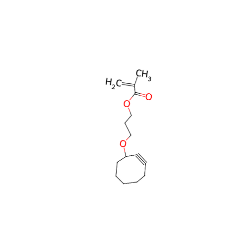 C=C(C)C(=O)OCCCOC1C#CCCCCC1